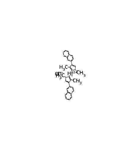 CC1=[C]([Hf+2][C]2=C(C)C(c3ccc4ccccc4c3)=CC2C)C(C)C=C1c1ccc2ccccc2c1.[Cl-].[Cl-]